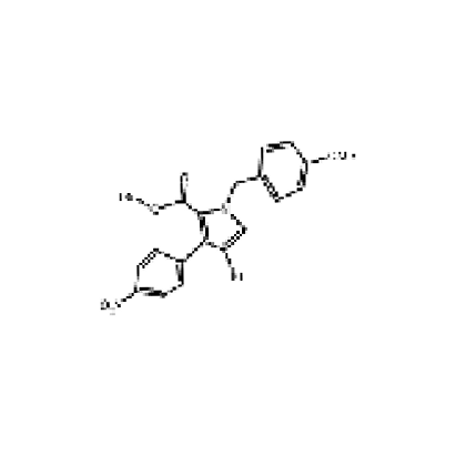 CCc1cn(Cc2ccc(OC)cc2)c(C(=O)OC(C)(C)C)c1-c1ccc([N+](=O)[O-])cc1